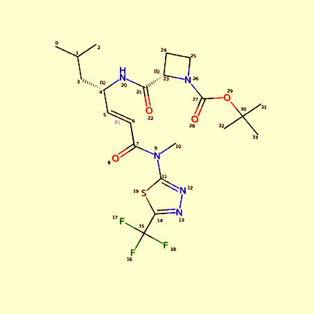 CC(C)C[C@@H](/C=C/C(=O)N(C)c1nnc(C(F)(F)F)s1)NC(=O)[C@@H]1CCN1C(=O)OC(C)(C)C